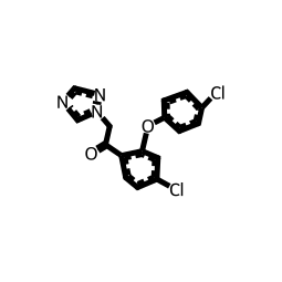 O=C(Cn1cncn1)c1ccc(Cl)cc1Oc1ccc(Cl)cc1